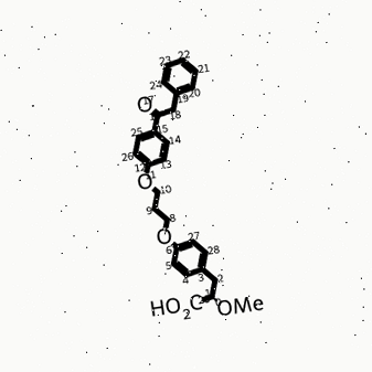 CO[C@@H](Cc1ccc(OCCCOc2ccc(C(=O)Cc3ccccc3)cc2)cc1)C(=O)O